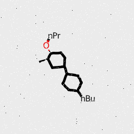 CCCCC1CCC(C2CC[C@@H](OCCC)[C@H](C)C2)CC1